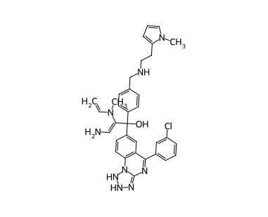 C=CN(C)/C(=C\N)C(O)(c1ccc(CNCCc2cccn2C)cc1)c1ccc2c(c1)C(c1cccc(Cl)c1)=NC1=NNNN12